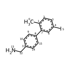 Cc1ccc(I)cc1-c1ccc(CN)cc1